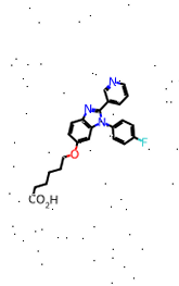 O=C(O)CCCCCOc1ccc2nc(-c3cccnc3)n(-c3ccc(F)cc3)c2c1